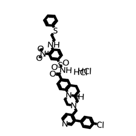 Cl.Cl.O=C(NS(=O)(=O)c1ccc(NCCSc2ccccc2)c([N+](=O)[O-])c1)c1ccc2c(c1)CC[C@@H]1CN(Cc3ccncc3-c3ccc(Cl)cc3)CCN21